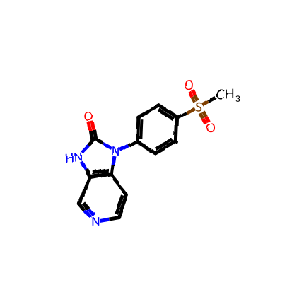 CS(=O)(=O)c1ccc(-n2c(=O)[nH]c3cnccc32)cc1